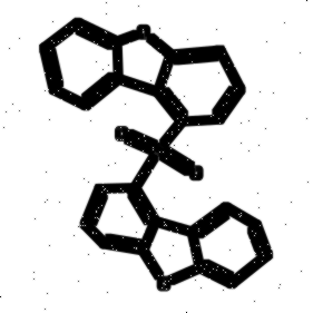 O=S(=O)(c1cccc2oc3ccccc3c12)c1cccc2oc3ccccc3c12